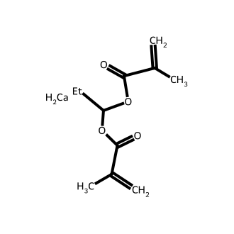 C=C(C)C(=O)OC(CC)OC(=O)C(=C)C.[CaH2]